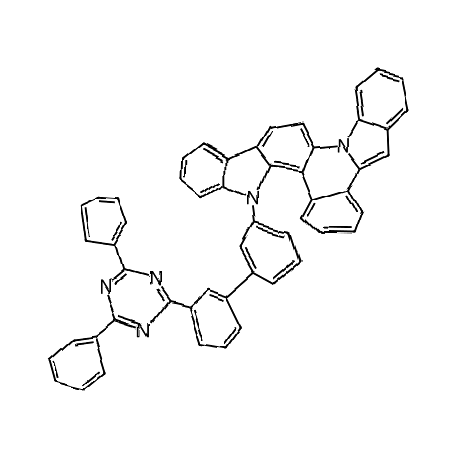 c1ccc(-c2nc(-c3ccccc3)nc(-c3cccc(-c4cccc(-n5c6ccccc6c6ccc7c(c8ccccc8c8cc9ccccc9n87)c65)c4)c3)n2)cc1